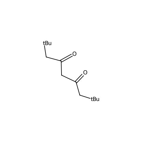 CC(C)(C)CC(=O)CC(=O)CC(C)(C)C